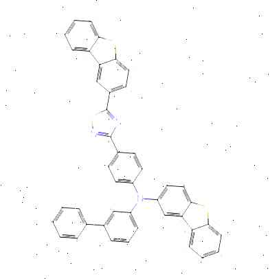 c1ccc(-c2cccc(N(c3ccc(-c4nsc(-c5ccc6sc7ccccc7c6c5)n4)cc3)c3ccc4sc5ccccc5c4c3)c2)cc1